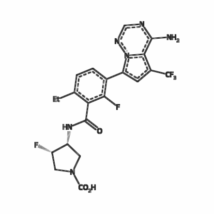 CCc1ccc(-c2cc(C(F)(F)F)c3c(N)ncnn23)c(F)c1C(=O)N[C@@H]1CN(C(=O)O)C[C@@H]1F